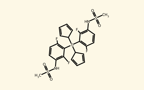 CS(=O)(=O)Nc1ccc(F)[c]([Ti]([c]2c(F)ccc(NS(C)(=O)=O)c2F)([CH]2C=CC=C2)[CH]2C=CC=C2)c1F